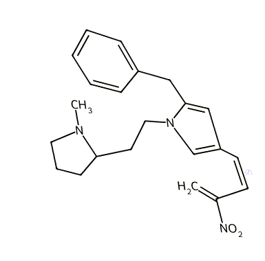 C=C(/C=C\c1cc(Cc2ccccc2)n(CCC2CCCN2C)c1)[N+](=O)[O-]